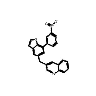 O=[N+]([O-])c1cccc(-c2cc(Cc3cnc4ccccc4c3)cc3ccoc23)c1